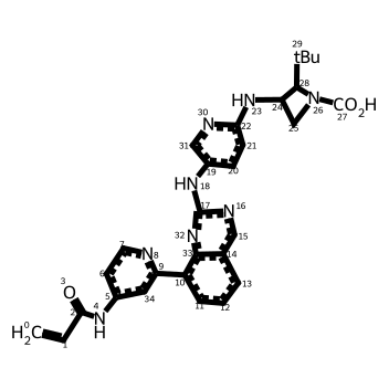 C=CC(=O)Nc1ccnc(-c2cccc3cnc(Nc4ccc(NC5CN(C(=O)O)C5C(C)(C)C)nc4)nc23)c1